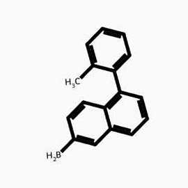 Bc1ccc2c(-c3ccccc3C)cccc2c1